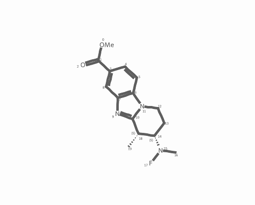 COC(=O)c1ccc2c(c1)nc1n2CC[C@H](N(C)F)[C@@H]1C